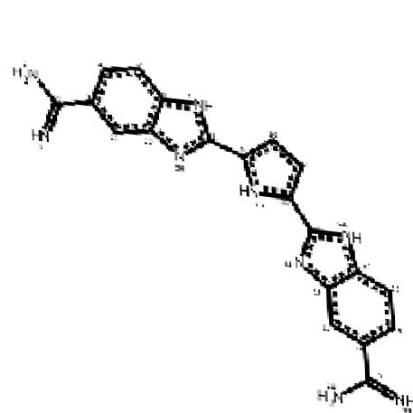 N=C(N)c1ccc2[nH]c(-c3ccc(-c4nc5cc(C(=N)N)ccc5[nH]4)[nH]3)nc2c1